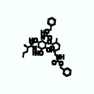 CCC[C@@H](C)C(=O)N[C@@H]1C(O)[C@H](NC(=O)OCc2ccccc2)C(O[C@H]2OC(CNC(=O)OCc3ccccc3)CCC2C)C(O)[C@H]1O